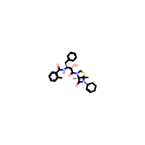 Cc1ccccc1C(=O)N[C@@H](Cc1ccccc1)[C@H](O)C(=O)N1CSC2(C)[C@H]1C(=O)N2[C@@H]1C=CCCC1